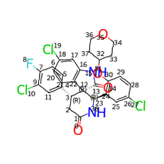 O=C1C[C@H](c2ccc(F)c(Cl)c2)[C@]2(C(=O)Nc3cc(Cl)ccc32)[C@@H](c2cc(Cl)ccc2OC2CCOCC2)N1